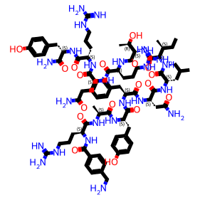 CC[C@H](C)[C@H](NC(=O)[C@H](CC(C)C)NC(=O)[C@H](CC(N)=O)NC(=O)[C@H](Cc1ccccc1)NC(=O)[C@H](Cc1ccc(O)cc1)NC(=O)[C@H](C)NC(=O)[C@H](CCCNC(=N)N)NC(=O)c1ccc(CN)cc1)C(=O)N[C@H](C(=O)N[C@@H](CCCNC(=N)N)C(=O)N[C@@H](CCC(N)=O)C(=O)N[C@@H](CCCNC(=N)N)C(=O)N[C@@H](Cc1ccc(O)cc1)C(N)=O)[C@@H](C)O